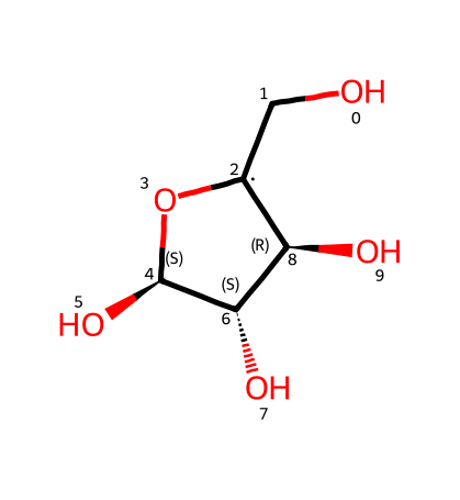 OC[C]1O[C@H](O)[C@@H](O)[C@@H]1O